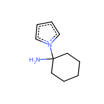 NC1(n2cccc2)CCCCC1